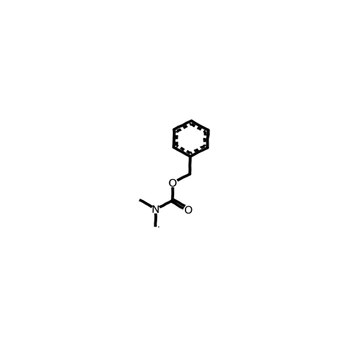 [CH2]N(C)C(=O)OCc1ccccc1